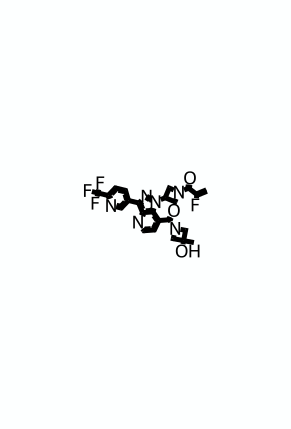 C=C(F)C(=O)N1CC(n2nc(-c3ccc(C(F)(F)F)nc3)c3nccc(C(=O)N4CC(C)(O)C4)c32)C1